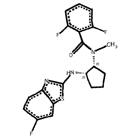 CN(C(=O)c1c(F)cccc1F)[C@@H]1CCC[C@@H]1Nc1nc2ccc(F)cc2s1